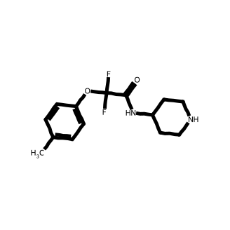 Cc1ccc(OC(F)(F)C(=O)NC2CCNCC2)cc1